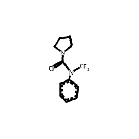 O=C(N1CCCC1)N(c1ccccc1)C(F)(F)F